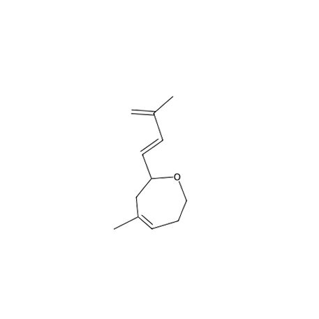 C=C(C)C=CC1CC(C)=CCCO1